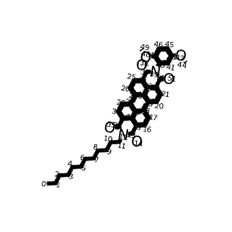 CCCCCCCCCCCCN1C(=O)c2ccc3c4ccc5c6c(ccc(c7ccc(c2c37)C1=O)c64)C(=O)N(c1cc(OC)ccc1OC)C5=O